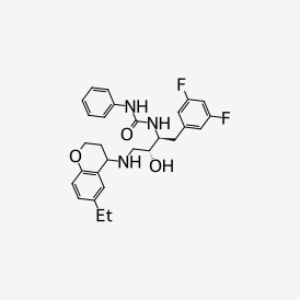 CCc1ccc2c(c1)C(NC[C@@H](O)[C@H](Cc1cc(F)cc(F)c1)NC(=O)Nc1ccccc1)CCO2